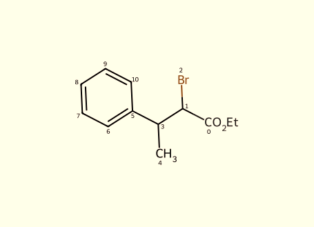 CCOC(=O)C(Br)C(C)c1ccccc1